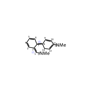 CN/C=c1/cccc/c1=C1\C=CC(NC)=CC1